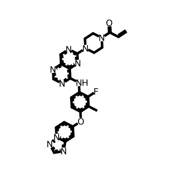 C=CC(=O)N1CCN(c2ncc3ncnc(Nc4ccc(Oc5ccn6ncnc6c5)c(C)c4F)c3n2)CC1